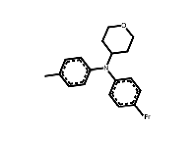 Cc1ccc(N(c2ccc(C(C)C)cc2)C2CCOCC2)cc1